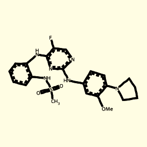 COc1cc(Nc2ncc(F)c(Nc3ccccc3NS(C)(=O)=O)n2)ccc1N1CCCC1